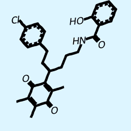 CC1=C(C)C(=O)C(C(CCCNC(=O)c2ccccc2O)CCc2ccc(Cl)cc2)=C(C)C1=O